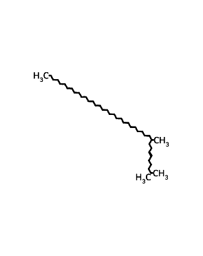 CCCCCCCCCCCCCCCCCCCCCCCCCCCCCCC(C)CCC=CCCCC(C)C